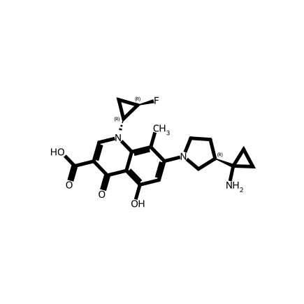 Cc1c(N2CC[C@@H](C3(N)CC3)C2)cc(O)c2c(=O)c(C(=O)O)cn([C@@H]3C[C@H]3F)c12